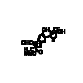 COC(=O)[C@](C)(Cc1ccc(O)c(C2=NC(O)(C(F)(F)F)CS2)c1)NC=O